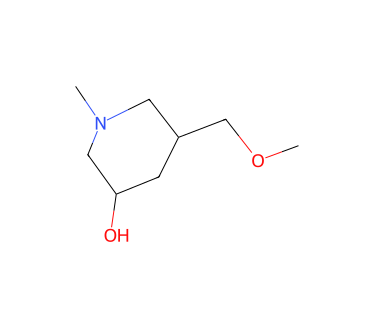 COCC1CC(O)CN(C)C1